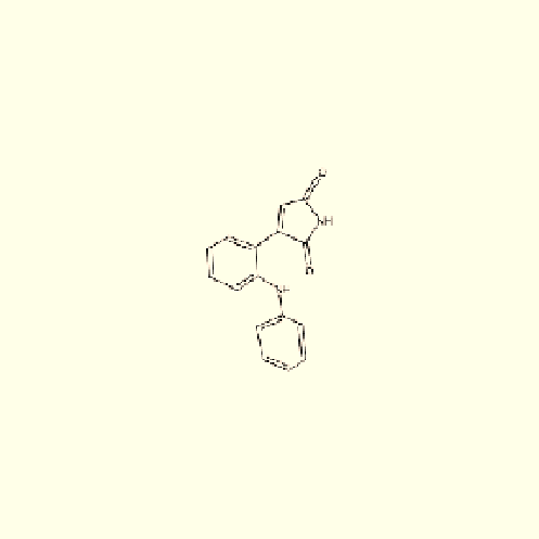 O=C1C=C(c2ccccc2Nc2ccccc2)C(=O)N1